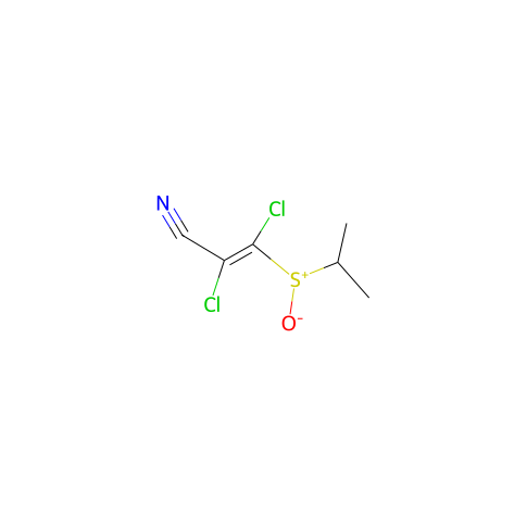 CC(C)[S+]([O-])C(Cl)=C(Cl)C#N